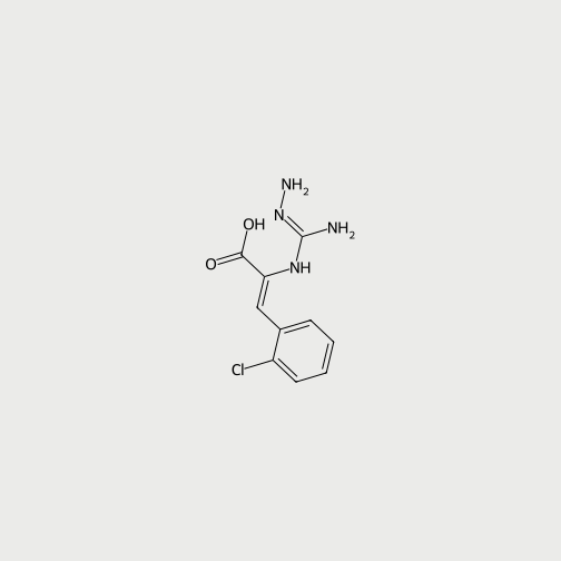 NN=C(N)NC(=Cc1ccccc1Cl)C(=O)O